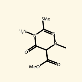 COC(=O)C1C(=O)N(N)C(SC)=NN1C